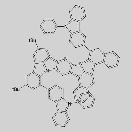 CC(C)(C)c1cc(-c2ccc3c(c2)c2ccccc2n3-c2ccccc2)c2c(c1)c1cc(C(C)(C)C)cc3c4nc5c(cc4n2c13)c1c2ccccc2cc2c3c4ccccc4cc(-c4ccc6c(c4)c4ccccc4n6-c4ccccc4)c3n5c21